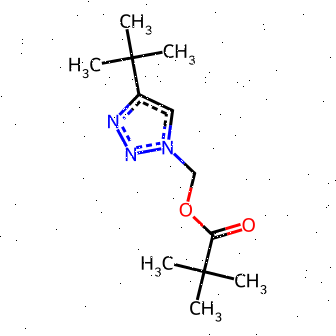 CC(C)(C)C(=O)OCn1cc(C(C)(C)C)nn1